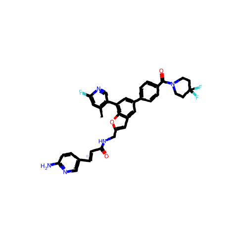 Cc1cc(F)ncc1-c1cc(-c2ccc(C(=O)N3CCC(F)(F)CC3)cc2)cc2cc(CNC(=O)/C=C/c3ccc(N)nc3)oc12